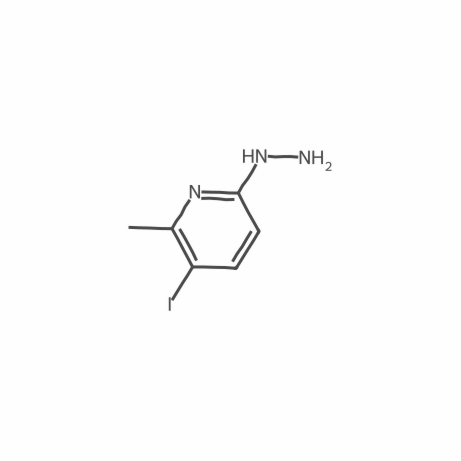 Cc1nc(NN)ccc1I